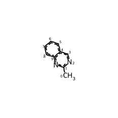 Cc1ncc2ccc[c]c2n1